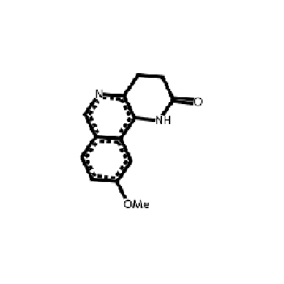 COc1ccc2cnc3c(c2c1)NC(=O)CC3